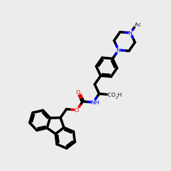 CC(=O)N1CCN(c2ccc(CC(NC(=O)OCC3c4ccccc4-c4ccccc43)C(=O)O)cc2)CC1